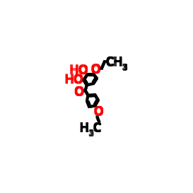 CCCOc1ccc(C(=O)c2ccc(OCCC)c(O)c2O)cc1